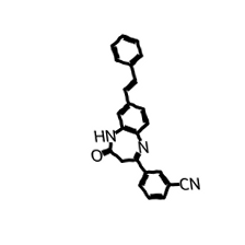 N#Cc1cccc(C2=Nc3ccc(C=Cc4ccccc4)cc3NC(=O)C2)c1